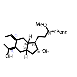 C/C=C1/C[C@H]2[C@@H](C/C1=C(/C)O)C[C@@H](O)[C@@H]2CC[C@H](CCCCC)OC